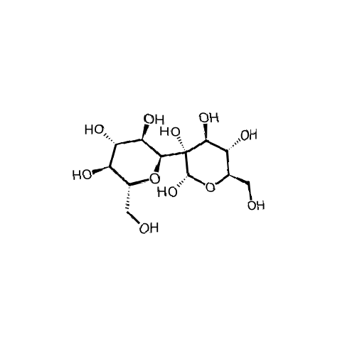 OC[C@H]1O[C@H](O)[C@@](O)([C@H]2O[C@H](CO)[C@@H](O)[C@H](O)[C@H]2O)[C@@H](O)[C@@H]1O